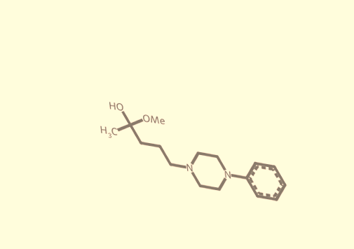 COC(C)(O)CCCN1CCN(c2ccccc2)CC1